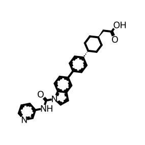 O=C(O)C[C@H]1CC[C@H](c2ccc(-c3ccc4c(ccn4C(=O)Nc4cccnc4)c3)cc2)CC1